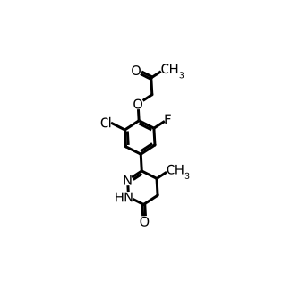 CC(=O)COc1c(F)cc(C2=NNC(=O)CC2C)cc1Cl